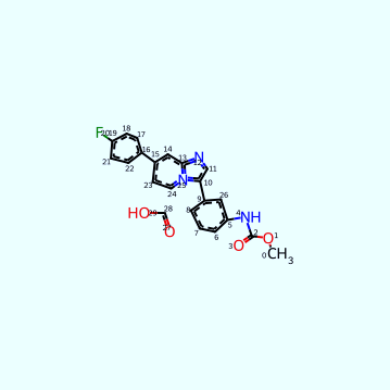 COC(=O)Nc1cccc(-c2cnc3cc(-c4ccc(F)cc4)ccn23)c1.O=CO